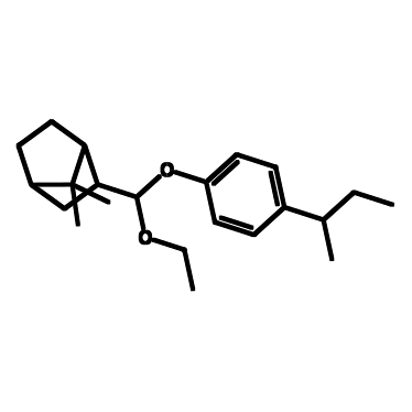 CCOC(Oc1ccc(C(C)CC)cc1)C1CC2CCC1C2(C)C